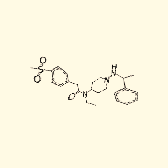 CCN(C(=O)Cc1ccc(S(C)(=O)=O)cc1)C1CCN(NC(C)c2ccccc2)CC1